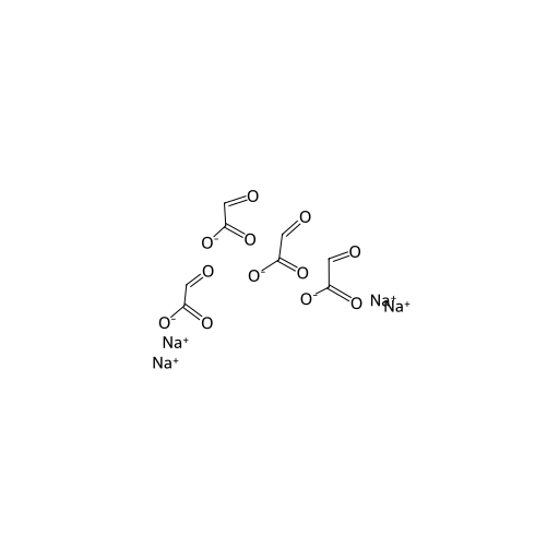 O=CC(=O)[O-].O=CC(=O)[O-].O=CC(=O)[O-].O=CC(=O)[O-].[Na+].[Na+].[Na+].[Na+]